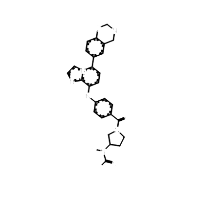 CC(=O)N(C)C1CCN(C(=O)c2ccc(Nc3ccc(-c4ccc5c(c4)CNCO5)n4ccnc34)cc2)C1